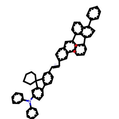 C(=C\c1ccc2cc(-c3cccc4c(-c5ccccc5)ccc(-c5ccccc5)c34)ccc2c1)/c1ccc2c(c1)C1(CCCCC1)c1cc(N(c3ccccc3)c3ccccc3)ccc1-2